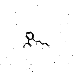 COC(=O)c1ccccc1NCCCCl